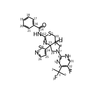 CC(C)(F)c1nc(N2C[C@H]3CSC(NC(=O)c4ccccc4)=NC3(c3ccns3)C2)ncc1F